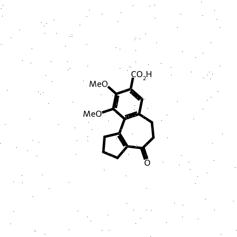 COc1c(C(=O)O)cc2c(c1OC)C1=C(CCC1)C(=O)CC2